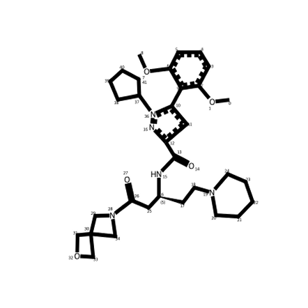 COc1cccc(OC)c1-c1cc(C(=O)N[C@@H](CCN2CCCCC2)CC(=O)N2CC3(COC3)C2)nn1C1CCCC1